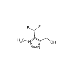 Cn1cnc(CO)c1C(F)F